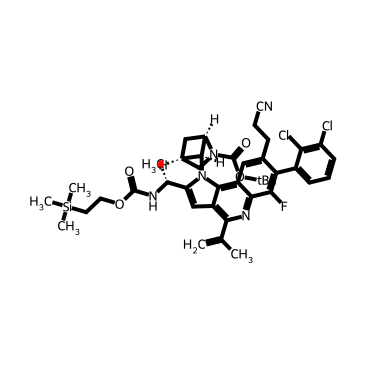 C=C(C)c1nc2c(F)c(-c3cccc(Cl)c3Cl)c(CCC#N)cc2c2c1cc([C@@H](C)NC(=O)OCC[Si](C)(C)C)n2[C@H]1[C@@H]2C[C@H]1N(C(=O)OC(C)(C)C)C2